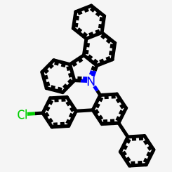 Clc1ccc(-c2cc(-c3ccccc3)ccc2-n2c3ccccc3c3c4ccccc4ccc32)cc1